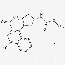 COC(=O)N[C@H]1CCN(c2c(C(C)=O)cc(Cl)c3cccnc23)C1